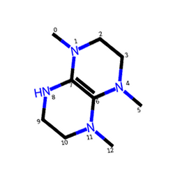 CN1CCN(C)C2=C1NCCN2C